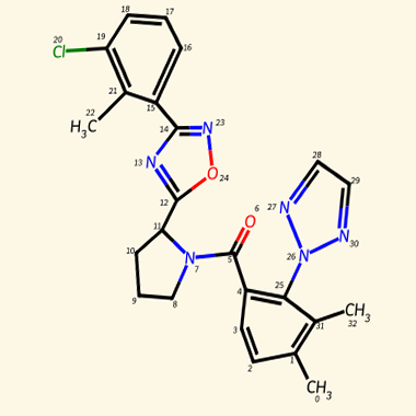 Cc1ccc(C(=O)N2CCCC2c2nc(-c3cccc(Cl)c3C)no2)c(-n2nccn2)c1C